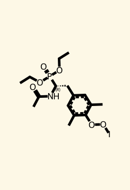 CCOP(=O)(OCC)[C@H](Cc1cc(C)c(OOI)c(C)c1)NC(C)=O